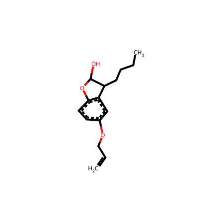 C=CCOc1ccc2c(c1)C(CCCC)C(O)O2